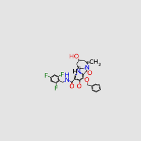 C[C@H]1CC(O)C[C@H]2CN1C(=O)c1c(OCc3ccccc3)c(=O)c(C(=O)NCc3c(F)cc(F)cc3F)cn12